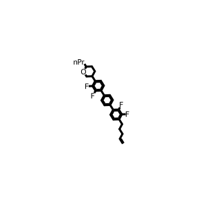 C=CCCCc1ccc(-c2ccc(-c3ccc(C4CCC(CCC)OC4)c(F)c3F)cc2)c(F)c1F